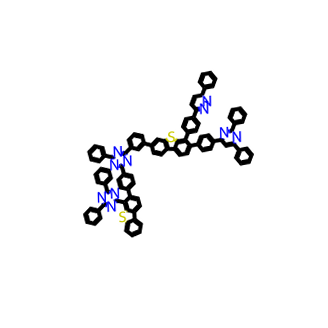 c1ccc(-c2ccc(-c3ccc(-c4c(-c5ccc(-c6cc(-c7ccccc7)nc(-c7ccccc7)n6)cc5)ccc5c4sc4cc(-c6cccc(-c7nc(-c8ccccc8)nc(-c8ccc(-c9ccc%10c(sc%11ccccc%11%10)c9-c9nc(-c%10ccccc%10)nc(-c%10ccccc%10)n9)cc8)n7)c6)ccc45)cc3)nn2)cc1